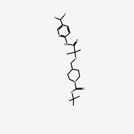 CC(C)(C)OC(=O)N1CCC(CSC(C)(C)C(=O)Nc2ccc(C(F)F)cn2)CC1